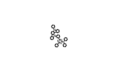 c1ccc(-c2nc(-c3cccc(-n4c5ccccc5c5ccc6c(c7ccccc7n6-c6ccccc6)c54)c3)nc(N(c3ccccc3)c3ccccc3)n2)cc1